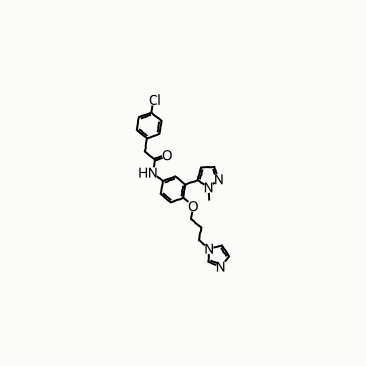 Cn1nccc1-c1cc(NC(=O)Cc2ccc(Cl)cc2)ccc1OCCCn1ccnc1